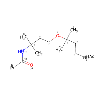 CC(=O)NCCC(C)(C)OCCC(C)(C)NC(=O)C(C)C